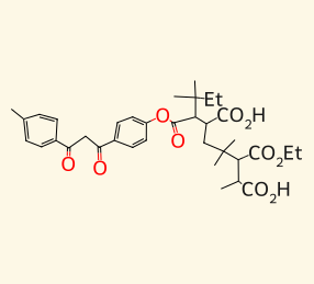 CCOC(=O)C(C(C)C(=O)O)C(C)(C)CC(C(=O)O)C(C(=O)Oc1ccc(C(=O)CC(=O)c2ccc(C)cc2)cc1)C(C)(C)CC